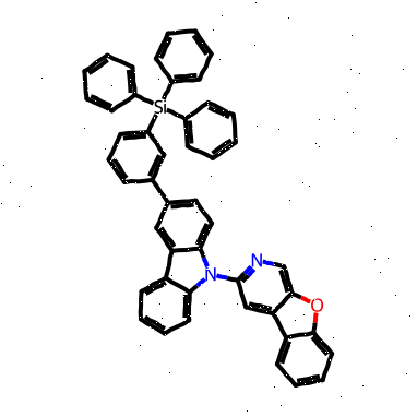 c1ccc([Si](c2ccccc2)(c2ccccc2)c2cccc(-c3ccc4c(c3)c3ccccc3n4-c3cc4c(cn3)oc3ccccc34)c2)cc1